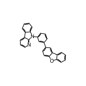 c1cc(-c2ccc3oc4ccccc4c3c2)cc(-n2c3ccccc3c3cccnc32)c1